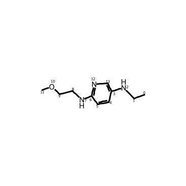 CCNc1ccc(NCCOC)nc1